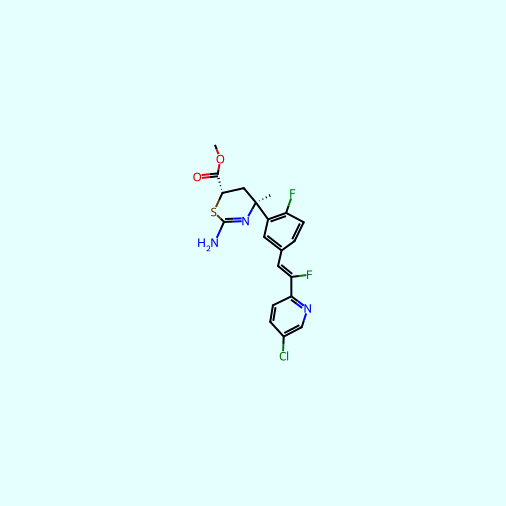 COC(=O)[C@@H]1C[C@@](C)(c2cc(/C=C(\F)c3ccc(Cl)cn3)ccc2F)N=C(N)S1